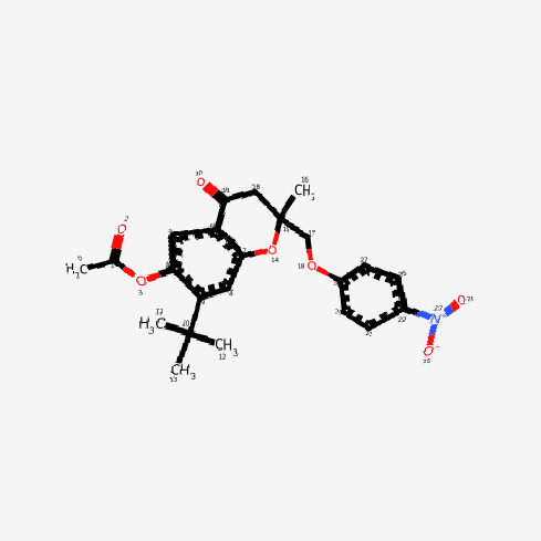 CC(=O)Oc1cc2c(cc1C(C)(C)C)OC(C)(COc1ccc([N+](=O)[O-])cc1)CC2=O